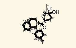 N[C@@]1(O)CC[C@H](C(=O)N2CCc3ccccc3[C@@H]2c2ccc(F)cc2)OC1